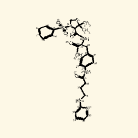 CC1(C)SCN(S(=O)(=O)c2ccccc2)[C@@H]1C(=O)N[C@@H](Cc1ccc(NC(=O)CCCNc2ccccn2)cc1)C(=O)O